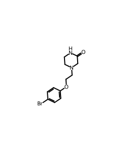 O=C1CN(CCOc2ccc(Br)cc2)CCN1